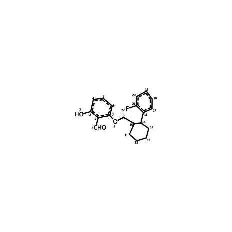 O=Cc1c(O)cccc1OCC1CCCCC1c1ccccc1F